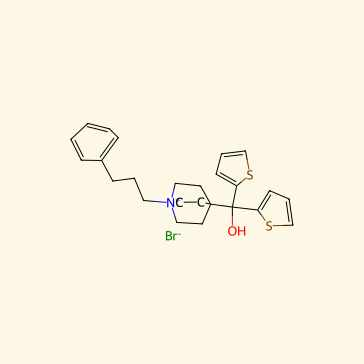 OC(c1cccs1)(c1cccs1)C12CC[N+](CCCc3ccccc3)(CC1)CC2.[Br-]